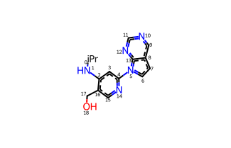 CC(C)Nc1cc(-n2ccc3cncnc32)ncc1CO